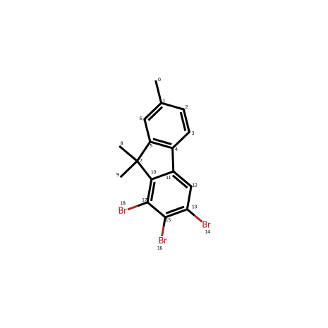 Cc1ccc2c(c1)C(C)(C)c1c-2cc(Br)c(Br)c1Br